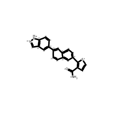 NC(=O)c1ccsc1-c1ccc2cc(-c3ccc4[nH]ncc4c3)ccc2c1